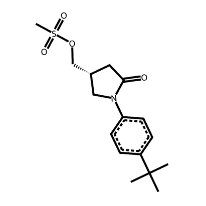 CC(C)(C)c1ccc(N2C[C@H](COS(C)(=O)=O)CC2=O)cc1